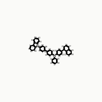 C1=Cc2c(n(-c3ccc(-c4ccc(N(c5ccccc5)c5ccc(-c6cccc7ccccc67)cc5)cc4)cc3)c3ccccc23)CC1